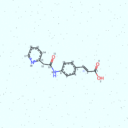 O=C(O)/C=C/c1ccc(NC(=O)Cc2ccccn2)cc1